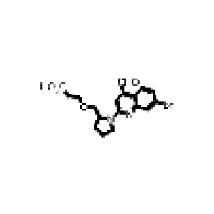 O=Cc1cc(N2CCCC2COCCC(=O)O)nc2cc(Br)ccc12